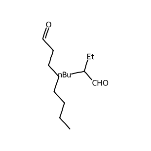 CCCCC(C=O)CC.CCCCCCCC=O